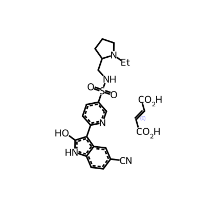 CCN1CCCC1CNS(=O)(=O)c1ccc(-c2c(O)[nH]c3ccc(C#N)cc23)nc1.O=C(O)/C=C/C(=O)O